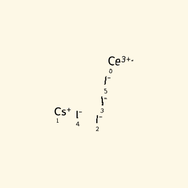 [Ce+3].[Cs+].[I-].[I-].[I-].[I-]